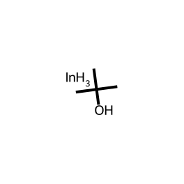 CC(C)(C)O.[InH3]